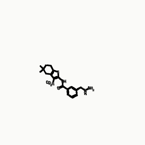 CC1(C)CCc2sc(NC(=O)c3cccc(CNN)c3)c(C(=O)O)c2C1